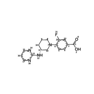 O=C(O)c1ccc(N2CCC[C@@H](Nc3ncccn3)C2)c(F)c1